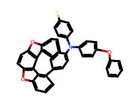 Fc1ccc(N(c2ccc(Oc3ccccc3)cc2)c2ccc(-c3cccc4oc5ccc6oc7ccccc7c6c5c34)cc2)cc1